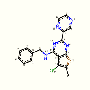 Cc1sc2nc(-c3cnccn3)nc(NCc3ccccc3)c2c1Cl